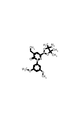 CCc1cc(B2OC(C)(C)C(C)(C)O2)nn(-c2cc(OC)cc(OC)c2)c1=O